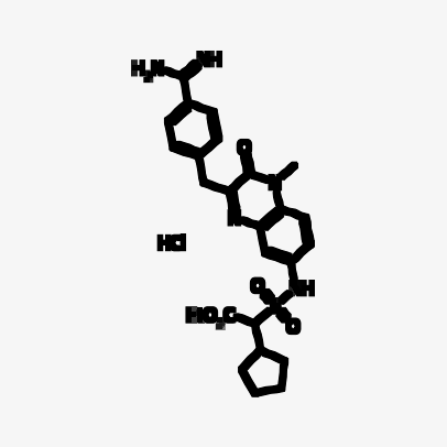 CCOC(=O)C(C1CCCC1)S(=O)(=O)Nc1ccc2c(c1)nc(Cc1ccc(C(=N)N)cc1)c(=O)n2C.Cl